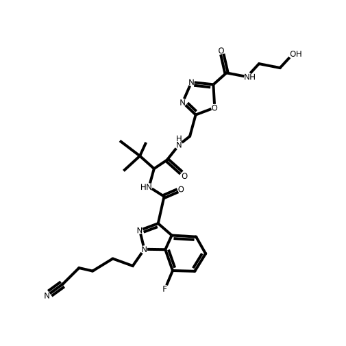 CC(C)(C)C(NC(=O)c1nn(CCCCC#N)c2c(F)cccc12)C(=O)NCc1nnc(C(=O)NCCO)o1